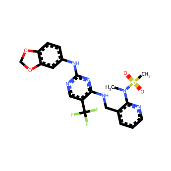 CN(c1ncccc1CNc1nc(Nc2ccc3c(c2)OCO3)ncc1C(F)(F)F)S(C)(=O)=O